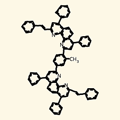 Cc1cc(-c2cc(-c3ccccc3)c3ccc4c(-c5ccccc5)cc(/C=C/c5ccccc5)nc4c3n2)ccc1-c1cc(-c2ccccc2)c2ccc3c(-c4ccccc4)cc(/C=C/c4ccccc4)nc3c2n1